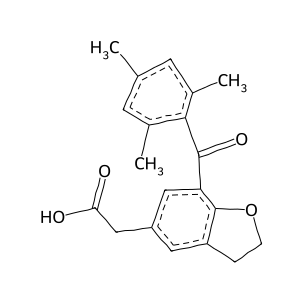 Cc1cc(C)c(C(=O)c2cc(CC(=O)O)cc3c2OCC3)c(C)c1